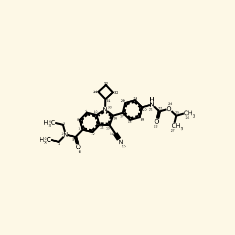 CCN(CC)C(=O)c1ccc2c(c1)c(C#N)c(-c1ccc(NC(=O)OC(C)C)cc1)n2C1CCC1